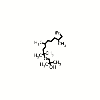 CC(C)CC(C)CCCC(C)CCC(C)(C)OCC(C)(C)O